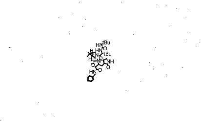 CC(C)(C)NC(=O)NC(C(=O)N1C[C@H]2[C@@H]([C@H]1C(=O)NC(CC1CCNC1=O)C(=O)C(=O)NCc1ccccc1)C2(C)C)C(C)(C)C